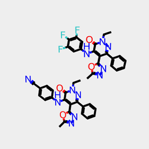 CCn1nc(-c2ccccc2)c(-c2nnc(C)o2)c(Nc2cc(F)c(F)c(F)c2)c1=O.CCn1nc(-c2ccccc2)c(-c2nnc(C)o2)c(Nc2ccc(C#N)cc2)c1=O